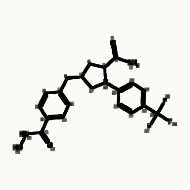 NC(=O)C1C[C@H](Cc2ccc(C(=O)NO)cc2)CN1c1ccc(C(F)(F)F)cc1